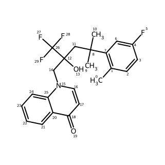 Cc1ccc(F)cc1C(C)(C)CC(O)(Cn1ccc(=O)c2ccccc21)C(F)(F)F